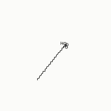 CCCCCCCCCCCCCCCCCCCCCCCCCCCCC=CP(=O)(O)OC